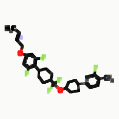 C/C=C/COc1cc(F)c(C2CCC(C(F)(F)OC3CCC(c4ccc(C(F)(F)F)c(F)c4)CC3)CC2)c(F)c1